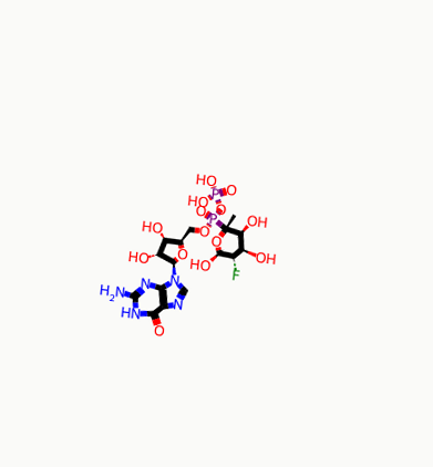 C[C@]1(P(=O)(OC[C@H]2O[C@@H](n3cnc4c(=O)[nH]c(N)nc43)[C@H](O)[C@@H]2O)OP(=O)(O)O)O[C@H](O)[C@@H](F)[C@H](O)[C@@H]1O